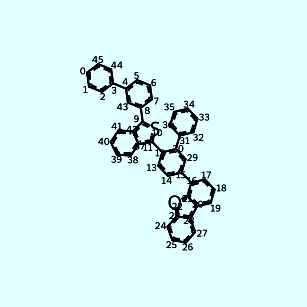 c1ccc(-c2cccc(-c3sc(-c4ccc(-c5cccc6c5oc5ccccc56)cc4-c4ccccc4)c4ccccc34)c2)cc1